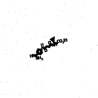 CCOC(=O)CC(NC(=O)CCC(=O)Nc1ccc(C(=N)N)cc1)C1CC1